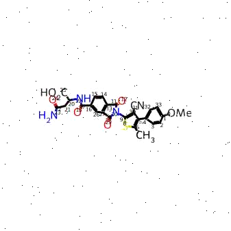 COc1ccc(-c2c(C)sc(N3C(=O)c4ccc(C(=O)NC(CC(N)=O)C(=O)O)cc4C3=O)c2C#N)cc1